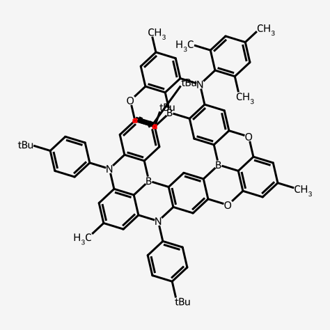 Cc1cc(C)c(N2c3cc4c(cc3B3c5cc(C(C)(C)C)ccc5Oc5cc(C)cc2c53)B2c3cc5c(cc3Oc3cc(C)cc(c32)O4)N(c2ccc(C(C)(C)C)cc2)c2cc(C)cc3c2B5c2cc(C(C)(C)C)ccc2N3c2ccc(C(C)(C)C)cc2)c(C)c1